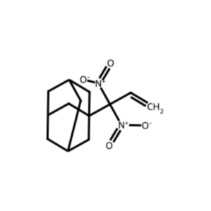 C=CC([N+](=O)[O-])([N+](=O)[O-])C12CC3CC(CC(C3)C1)C2